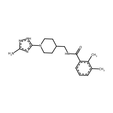 Cc1cccc(C(=O)NCC2CCN(c3nc(N)n[nH]3)CC2)c1C